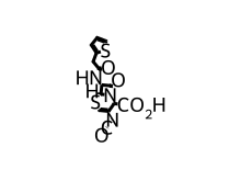 O=C=NC1=CS[C@@H]2C(NC(=O)Cc3cccs3)C(=O)N2C1C(=O)O